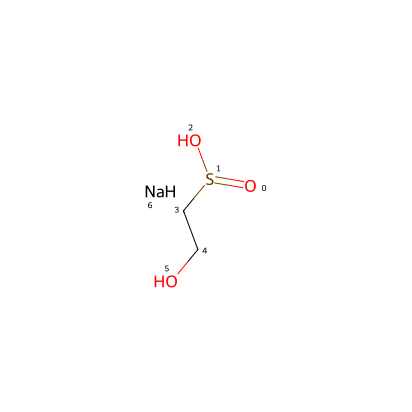 O=S(O)CCO.[NaH]